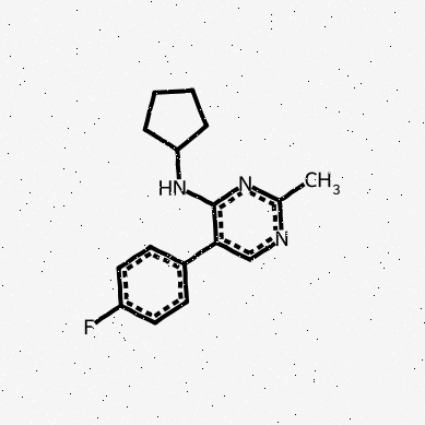 Cc1ncc(-c2ccc(F)cc2)c(NC2CCCC2)n1